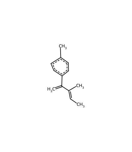 C=C(/C(C)=C/C)c1ccc(C)cc1